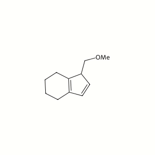 COCC1C=CC2=C1CCCC2